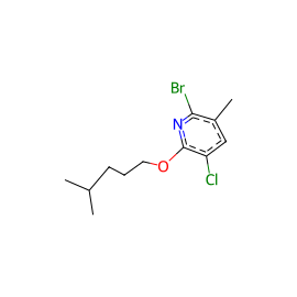 Cc1cc(Cl)c(OCCCC(C)C)nc1Br